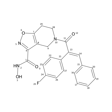 O=C(NO)c1noc2c1CN(C(=O)C(=Cc1ccccc1)c1ccc(F)cc1)CC2